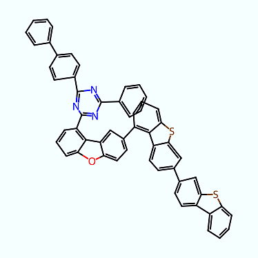 c1ccc(-c2ccc(-c3nc(-c4ccccc4)nc(-c4cccc5oc6ccc(-c7cccc8sc9cc(-c%10ccc%11c(c%10)sc%10ccccc%10%11)ccc9c78)cc6c45)n3)cc2)cc1